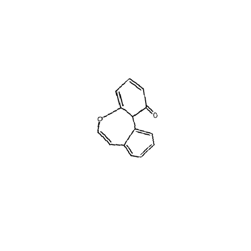 O=C1C=CC=C2OC=Cc3ccccc3C12